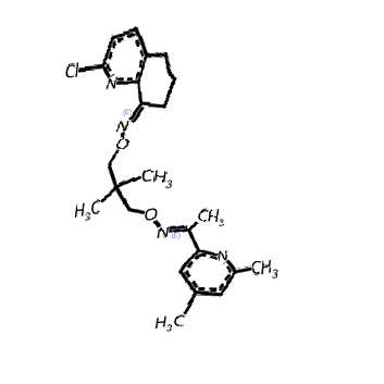 C/C(=N\OCC(C)(C)CO/N=C1\CCCc2ccc(Cl)nc21)c1cc(C)cc(C)n1